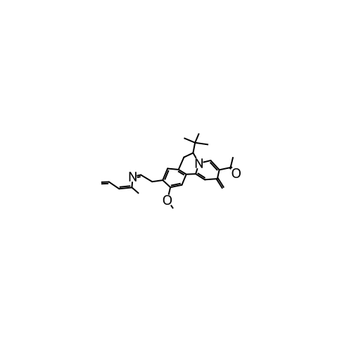 C=C/C=C(C)\N=C/Cc1cc2c(cc1OC)C1=CC(=C)C(C(C)=O)=CN1C(C(C)(C)C)C2